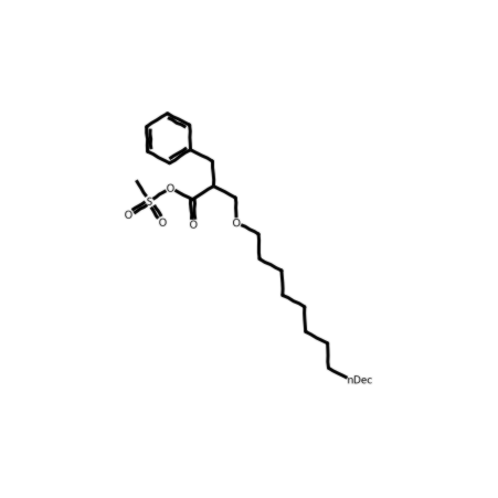 CCCCCCCCCCCCCCCCCCOCC(Cc1ccccc1)C(=O)OS(C)(=O)=O